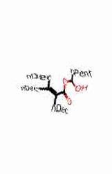 CCCCCCCCCCC(CCCCCCCCCC)=C(CCCCCCCCCC)C(=O)OC(O)CCCCC